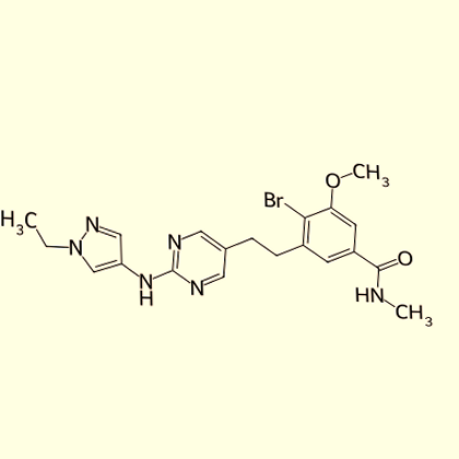 CCn1cc(Nc2ncc(CCc3cc(C(=O)NC)cc(OC)c3Br)cn2)cn1